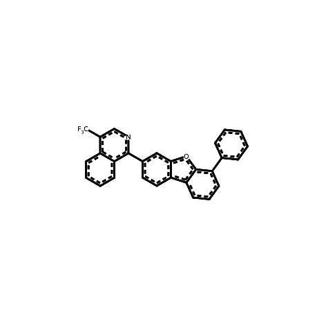 FC(F)(F)c1cnc(-c2ccc3c(c2)oc2c(-c4ccccc4)cccc23)c2ccccc12